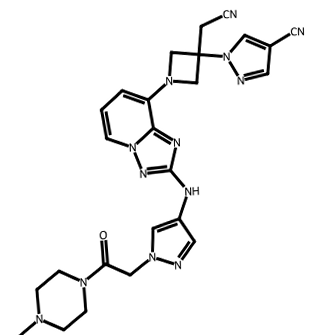 CN1CCN(C(=O)Cn2cc(Nc3nc4c(N5CC(CC#N)(n6cc(C#N)cn6)C5)cccn4n3)cn2)CC1